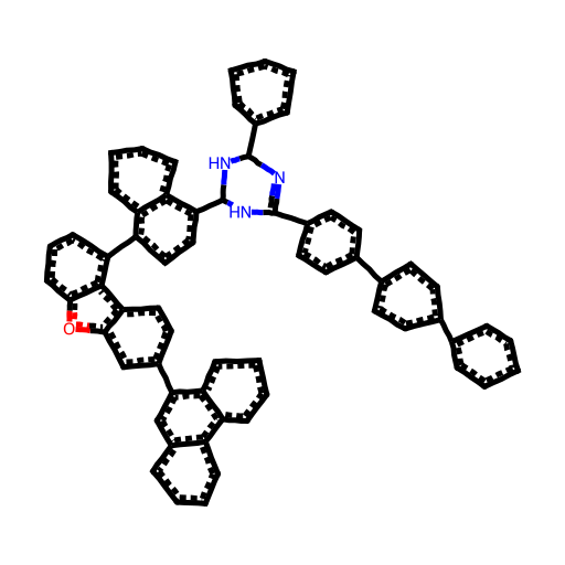 c1ccc(-c2ccc(-c3ccc(C4=NC(c5ccccc5)NC(c5ccc(-c6cccc7oc8cc(-c9cc%10ccccc%10c%10ccccc9%10)ccc8c67)c6ccccc56)N4)cc3)cc2)cc1